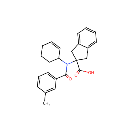 Cc1cccc(C(=O)N(C2C=CCCC2)C2(C(=O)O)Cc3ccccc3C2)c1